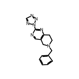 c1ccc(CN2CCc3nc(-n4ncnn4)ncc3C2)cc1